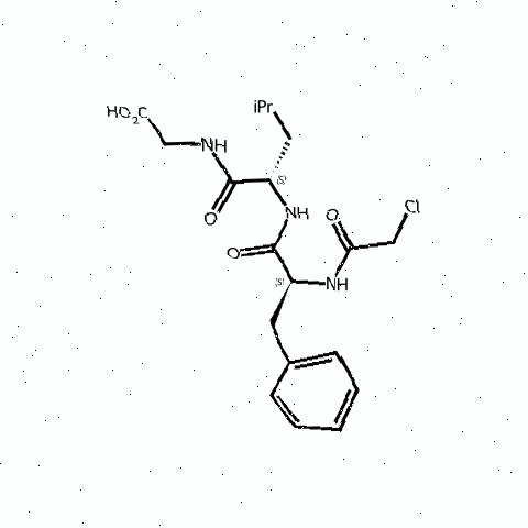 CC(C)C[C@H](NC(=O)[C@H](Cc1ccccc1)NC(=O)CCl)C(=O)NCC(=O)O